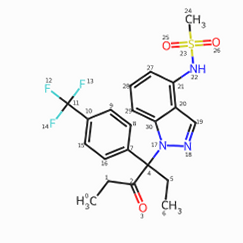 CCC(=O)C(CC)(c1ccc(C(F)(F)F)cc1)n1ncc2c(NS(C)(=O)=O)cccc21